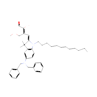 CCCCCCCCCCCCN1/C(=C/C(COC)=C(\O)C=O)C(C)(C)c2cc(N(Cc3ccccc3)Cc3ccccc3)ccc21